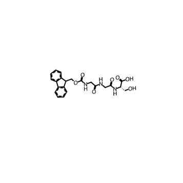 O=C(CNC(=O)OCC1c2ccccc2-c2ccccc21)NCC(=O)N[C@@H](CO)C(=O)O